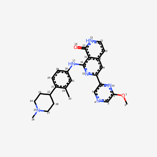 COc1cncc(-c2cc3cc[nH]c(=O)c3c(Nc3ccc(C4CCN(C)CC4)c(C)c3)n2)n1